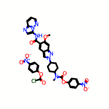 COc1cc2nn(C3CCC(N(C)C(=O)Oc4ccc([N+](=O)[O-])cc4)CC3)cc2cc1C(=O)Nc1cnc2cccnn12.O=C(Cl)Oc1ccc([N+](=O)[O-])cc1